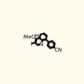 COC1=C(I)C=NC2=C(c3ccc(C#N)cc3)C=CC[C@@H]21